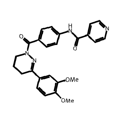 COc1ccc(C2=NN(C(=O)c3ccc(NC(=O)c4ccncc4)cc3)CCC2)cc1OC